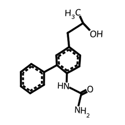 CC(O)Cc1ccc(NC(N)=O)c(-c2ccccc2)c1